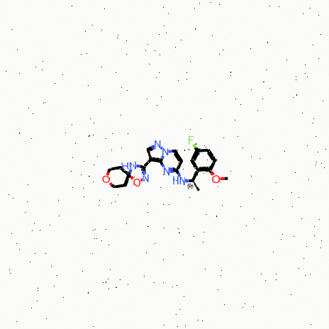 COc1ccc(F)cc1[C@@H](C)Nc1ccn2ncc(C3=NOC4(CCOCC4)N3)c2n1